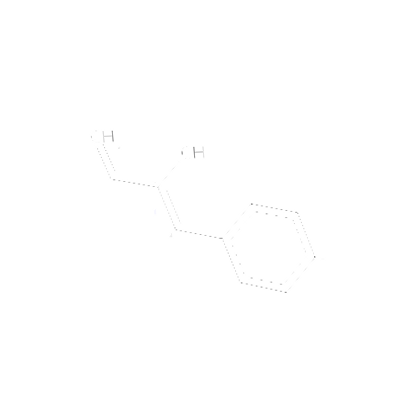 C=C/C(C)=C/c1ccccc1